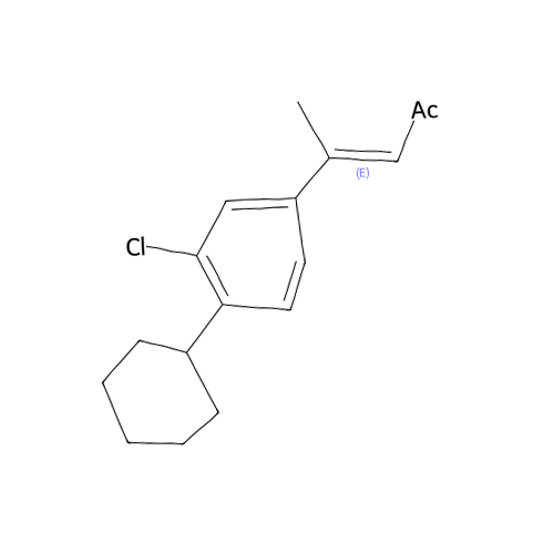 CC(=O)/C=C(\C)c1ccc(C2CCCCC2)c(Cl)c1